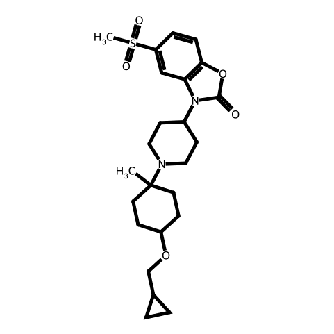 CC1(N2CCC(n3c(=O)oc4ccc(S(C)(=O)=O)cc43)CC2)CCC(OCC2CC2)CC1